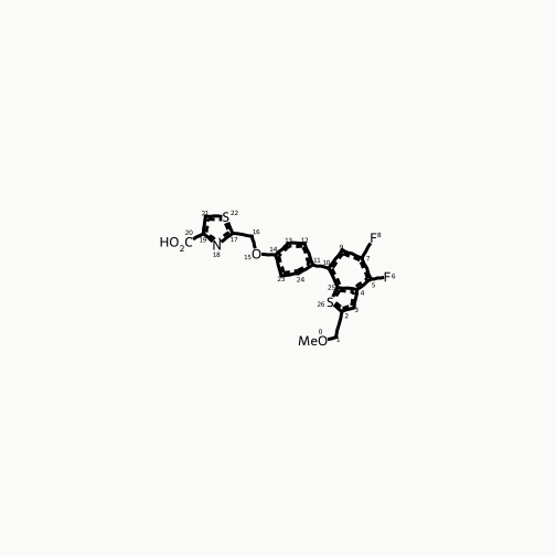 COCc1cc2c(F)c(F)cc(-c3ccc(OCc4nc(C(=O)O)cs4)cc3)c2s1